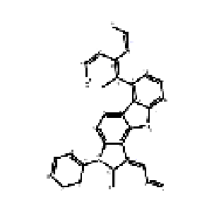 C=C/C=C1/c2c(ccc3c2sc2cccc(/C(C)=C(\C=C/C)/C=C\CC)c23)N(C2=CC=CCC2)C1C